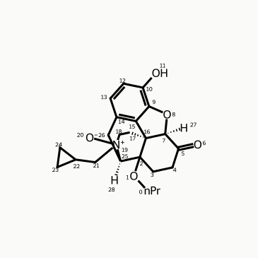 CCCOC12CCC(=O)[C@@H]3Oc4c(O)ccc5c4[C@@]31CC[N+]([O-])(CC1CC1)[C@@H]2C5